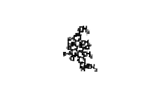 Cc1ccc(Nc2c3c(=O)n(C4CC4)c(=O)n(-c4ccc5c(cnn5C)c4)c3c(C)c(=O)n2C)c(F)c1